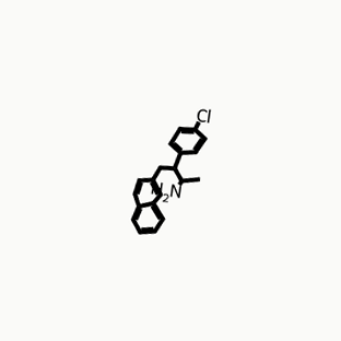 CC(N)C(Cc1ccc2ccccc2c1)c1ccc(Cl)cc1